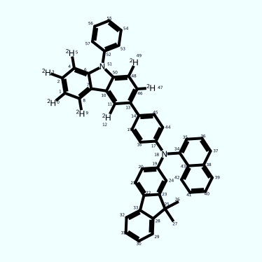 [2H]c1c([2H])c([2H])c2c(c1[2H])c1c([2H])c(-c3ccc(N(c4ccc5c(c4)C(C)(C)c4ccccc4-5)c4cccc5ccccc45)cc3)c([2H])c([2H])c1n2-c1ccccc1